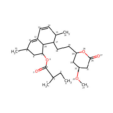 CCC(C)C(=O)OC1CC(C)C=C2C=CC(C)C(CCC3CC(OC)CC(=O)O3)C21